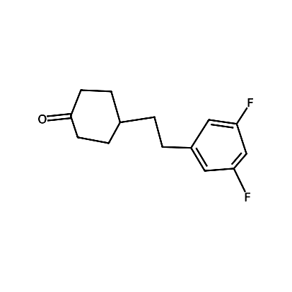 O=C1CCC(CCc2cc(F)cc(F)c2)CC1